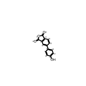 O=C1OC(=O)c2cc(-c3ccc(O)cc3)ccc21